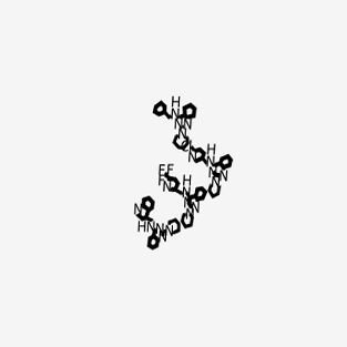 Clc1ccc(CNc2nc(N3CCCCC3)nc3ccccc23)cn1.FC(F)(F)c1ccc(CNc2nc(N3CCCCC3)nc3ccccc23)cn1.c1ccc(CNc2nc(N3CCCCCC3)nc3ccccc23)cc1.c1ccc2c(CNc3nc(N4CCCCC4)nc4ccccc34)ccnc2c1